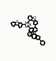 c1ccc(-c2ccc(-n3c4ccccc4c4cc(-c5ccc6oc7cccc(-c8nc(-c9ccc%10c(c9)sc9ccccc9%10)nc(-c9ccc%10c(c9)sc9ccccc9%10)n8)c7c6c5)ccc43)cc2)cc1